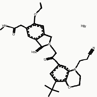 Br.CCOc1cc2c(cc1CC(=O)NC)C(=N)N(CC(=O)c1cc3c(c(C(C)(C)C)c1)OCCN3CCC#N)C2